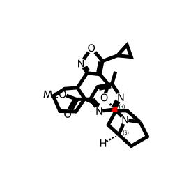 COC(=O)c1cc(C)nc(N2C3CC[C@H]2C[C@H](OCc2c(C4CCCCC4C)noc2C2CC2)C3)n1